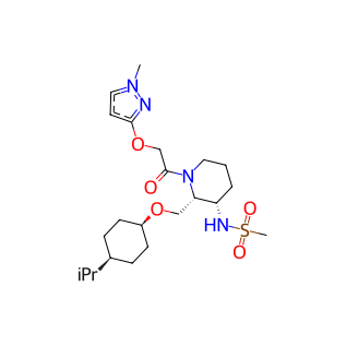 CC(C)[C@H]1CC[C@@H](OC[C@H]2[C@@H](NS(C)(=O)=O)CCCN2C(=O)COc2ccn(C)n2)CC1